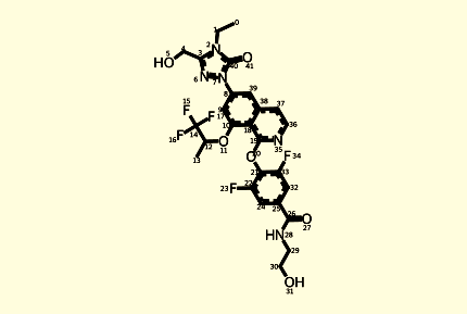 CCn1c(CO)nn(-c2cc(OC(C)C(F)(F)F)c3c(Oc4c(F)cc(C(=O)NCCO)cc4F)nccc3c2)c1=O